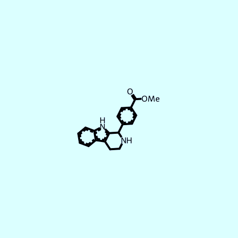 COC(=O)c1ccc(C2NCCc3c2[nH]c2ccccc32)cc1